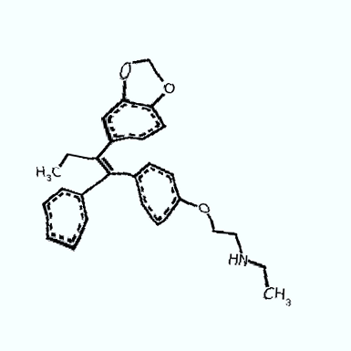 CCNCCOc1ccc(/C(=C(/CC)c2ccc3c(c2)OCO3)c2ccccc2)cc1